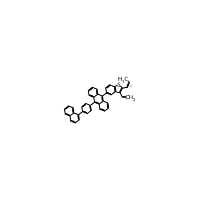 C=Cc1c(/C=C\C)sc2ccc(-c3c4ccccc4c(-c4ccc(-c5cccc6ccccc56)cc4)c4ccccc34)cc12